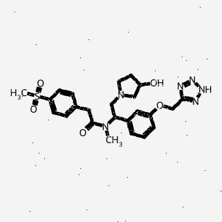 CN(C(=O)Cc1ccc(S(C)(=O)=O)cc1)C(CN1CCC(O)C1)c1cccc(OCc2nn[nH]n2)c1